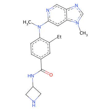 CCc1cc(C(=O)NC2CNC2)ccc1N(C)c1cc2c(cn1)ncn2C